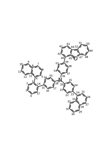 c1ccc(-c2cccc3ccccc23)c(-c2ccc(N(c3ccc(-c4cccc5ccccc45)cc3)c3ccc(-c4cccc5c4oc4ccccc45)cc3)cc2)c1